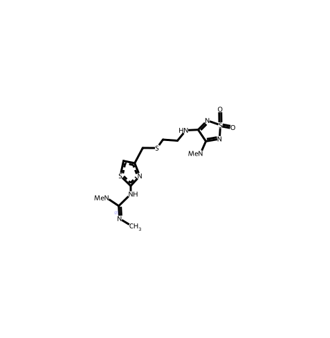 C/N=C(/NC)Nc1nc(CSCCNC2=NS(=O)(=O)N=C2NC)cs1